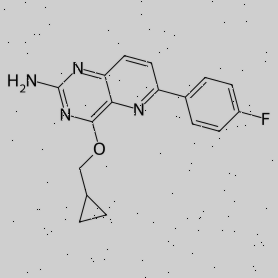 Nc1nc(OCC2CC2)c2nc(-c3ccc(F)cc3)ccc2n1